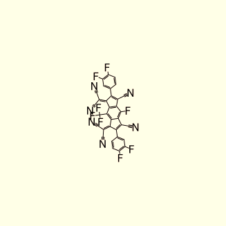 N#CC(C#N)=C1C(c2ccc(F)c(F)c2)=C(C#N)c2c(F)c3c(c(C(F)(F)F)c21)C(=C(C#N)C#N)C(c1ccc(F)c(F)c1)=C3C#N